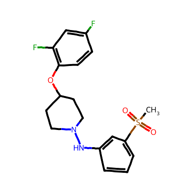 CS(=O)(=O)c1cccc(NN2CCC(Oc3ccc(F)cc3F)CC2)c1